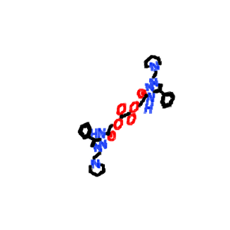 O=C(COC(=O)C(=O)OCC(=O)Nc1nn(CCN2CCCCC2)cc1-c1ccccc1)Nc1nn(CCN2CCCCC2)cc1-c1ccccc1